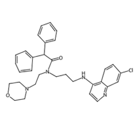 O=C(C(c1ccccc1)c1ccccc1)N(CCCNc1ccnc2cc(Cl)ccc12)CCN1CCOCC1